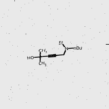 CCCCN(CC)CC#CC(C)(C)O